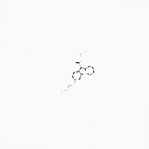 CCOC(=O)c1c2ccc(OCCN(C)C)cc2n2ccccc12